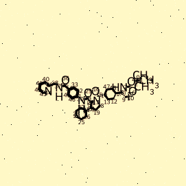 CC(C)(C)OC(=O)N[C@H](CF)[C@H]1CC[C@H](C(=O)N2CC[C@@H](C3CCCCC3)[C@H]2C(=O)Nc2ccc(C(=O)NCc3ccccn3)cc2)CC1